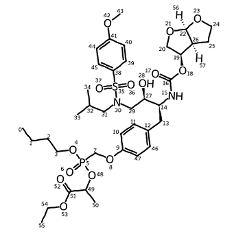 CCCCOP(=O)(COc1ccc(C[C@H](NC(=O)O[C@H]2CO[C@H]3OCC[C@H]32)[C@H](O)CN(CC(C)C)S(=O)(=O)c2ccc(OC)cc2)cc1)OC(C)C(=O)OCC